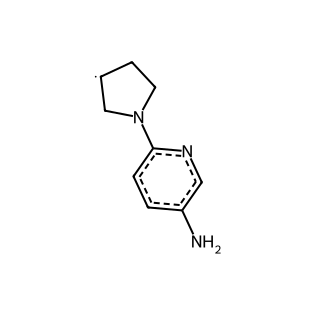 Nc1ccc(N2C[CH]CC2)nc1